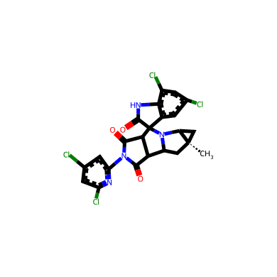 C[C@]12CC3C4C(=O)N(c5cc(Cl)cc(Cl)n5)C(=O)C4C4(C(=O)Nc5c(Cl)cc(Cl)cc54)N3C1C2